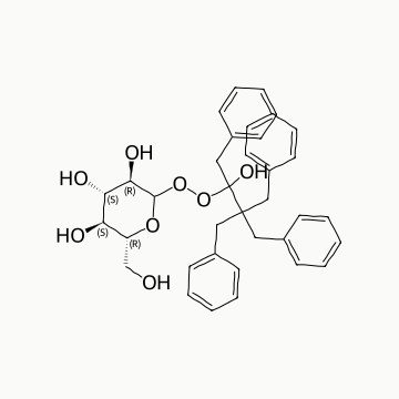 OC[C@H]1OC(OOC(O)(Cc2ccccc2)C(Cc2ccccc2)(Cc2ccccc2)Cc2ccccc2)[C@H](O)[C@@H](O)[C@@H]1O